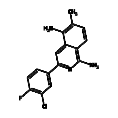 Cc1ccc2c(N)nc(-c3ccc(F)c(Cl)c3)cc2c1N